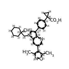 Cc1noc(C)c1-c1cnc2c(-c3ccc(C4(C(=O)O)CC4)cc3)cn(CC3(C)CCCCC3)c2c1